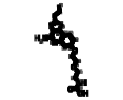 CCCc1nc2c(N)nc3cc(OCCOCCNC(=O)O)ccc3c2s1